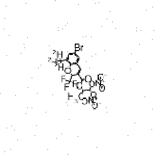 [2H]C([2H])([2H])c1cc(Br)cc2c1OC(C(F)(F)F)C(C(=O)OC(C)C(O[N+](=O)[O-])O[N+](=O)[O-])=C2